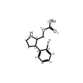 CC(C)(C)C(=O)OCC1NCCC1c1ccccc1F